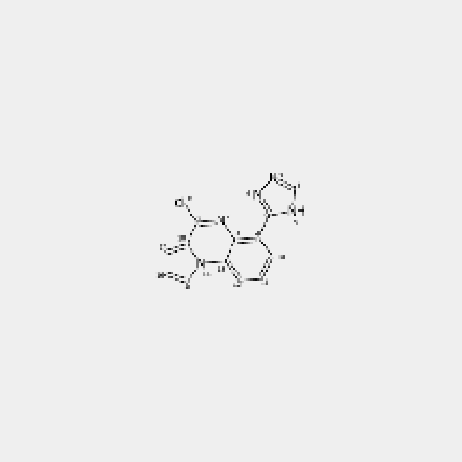 Clc1nc2c(-c3nnc[nH]3)cccc2n2cccc12